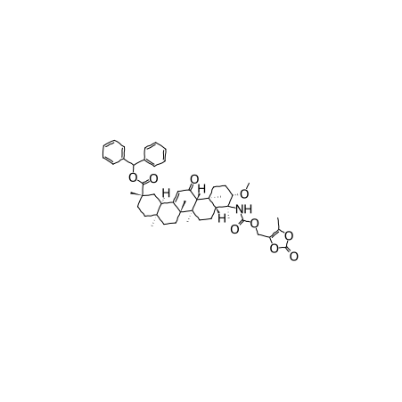 CO[C@H]1CC[C@@]2(C)[C@@H](CC[C@]3(C)[C@@H]2C(=O)C=C2[C@@H]4C[C@@](C)(C(=O)OC(c5ccccc5)c5ccccc5)CC[C@]4(C)CC[C@]23C)[C@]1(C)NC(=O)OCc1oc(=O)oc1C